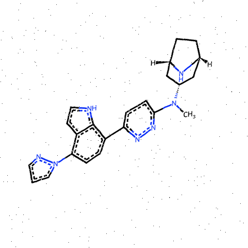 CN(c1ccc(-c2ccc(-n3cccn3)c3cc[nH]c23)nn1)[C@H]1C[C@H]2CC[C@@H](C1)N2